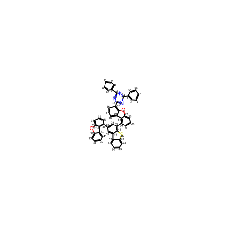 c1ccc(-c2nc(-c3ccccc3)nc(-c3cccc4c3oc3cccc(-c5cc(-c6cccc7oc8ccccc8c67)cc6c5sc5ccccc56)c34)n2)cc1